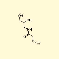 CC(C)OCC(=O)NCC(O)CO